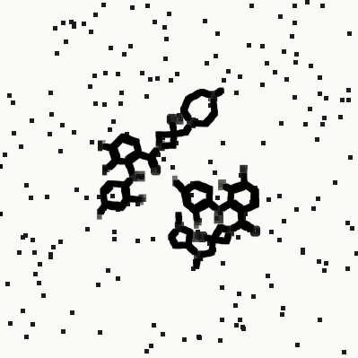 CN1CCC(N(C)CC2(O)CN(C(=O)c3ccc(F)c(F)c3Nc3ccc(I)cc3F)C2)C1.CN1CCCN(CC2(O)CN(C(=O)c3ccc(F)c(F)c3Nc3ccc(I)cc3F)C2)CC1